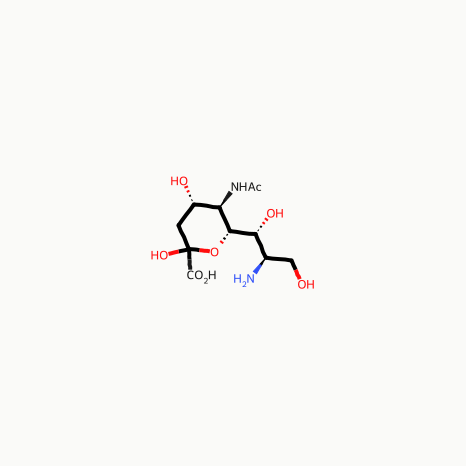 CC(=O)N[C@H]1[C@H]([C@H](O)[C@H](N)CO)OC(O)(C(=O)O)C[C@@H]1O